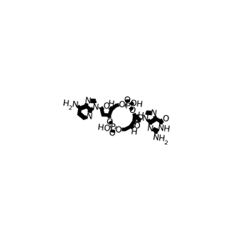 Nc1nc2c(ncn2[C@@H]2O[C@@H]3COP(=O)(O)OC4C[C@H](n5cnc6c(N)ccnc65)O[C@@H]4COP(=O)(O)O[C@H]2C3F)c(=O)[nH]1